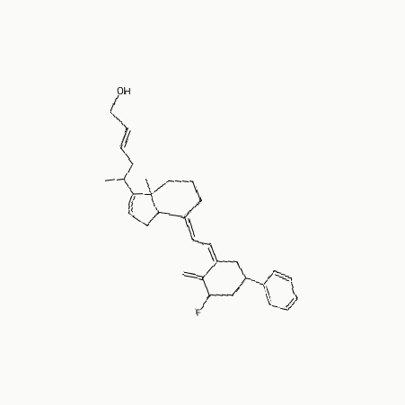 C=C1/C(=C\C=C2/CCCC3(C)C(C(C)C/C=C/CO)=CCC23)CC(c2ccccc2)CC1F